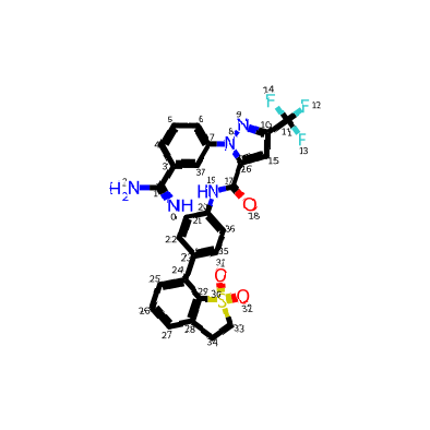 N=C(N)c1cccc(-n2nc(C(F)(F)F)cc2C(=O)Nc2ccc(-c3cccc4c3S(=O)(=O)CC4)cc2)c1